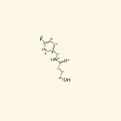 O=C(CCCO)NCc1ccc(F)cc1